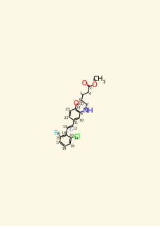 COC(=O)CC[C@H]1CNc2cc(/C=C/c3c(F)cccc3Cl)ccc2O1